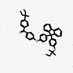 CCC(C)(C)Oc1ccc(C2(c3ccc(Oc4ccc(C(=O)c5ccc(C(C)(CC)CC)cc5)cc4)cc3)c3ccccc3-c3ccccc32)cc1